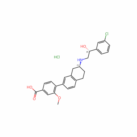 COc1cc(C(=O)O)ccc1-c1ccc2c(c1)C[C@@H](NC[C@H](O)c1cccc(Cl)c1)CC2.Cl